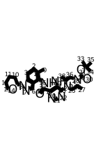 Cc1ccc2c(cnn2C2CCCCO2)c1NC(=O)c1ncnc(N2CC(C)N(C(=O)OC(C)(C)C)CC2C)c1N